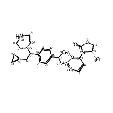 CC(Nc1nccc(N2C(=O)OC[C@@H]2C(C)C)n1)c1ccc(C(CC2CC2)N2CCNCC2)cc1